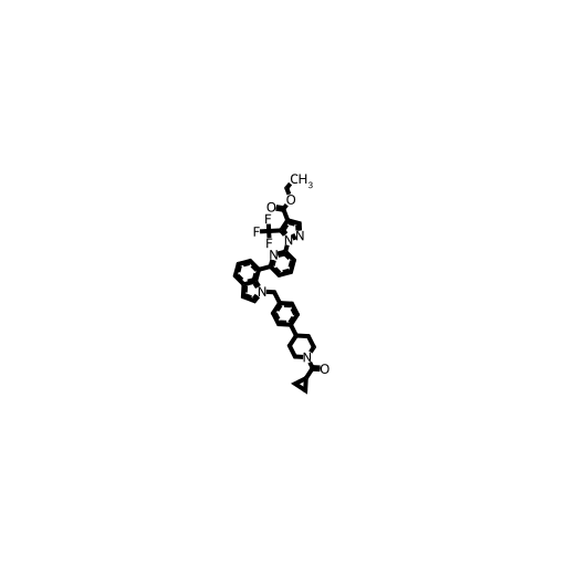 CCOC(=O)c1cnn(-c2cccc(-c3cccc4ccn(Cc5ccc(C6CCN(C(=O)C7CC7)CC6)cc5)c34)n2)c1C(F)(F)F